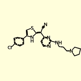 N#CC(=C1NC(c2ccc(Cl)cc2)=CS1)c1ccnc(NCCCN2CCCC2)n1